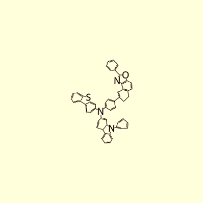 C1=CC2c3ccccc3N(c3ccccc3)C2C=C1N(c1ccc(C2=Cc3c(ccc4oc(-c5ccccc5)nc34)CC2)cc1)c1ccc2c(c1)sc1ccccc12